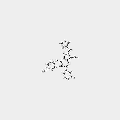 Cc1cccc(C2=CN3C(=O)/C(=C/c4ccco4)N=C3C(Cc3ccc(F)cc3)=N2)c1